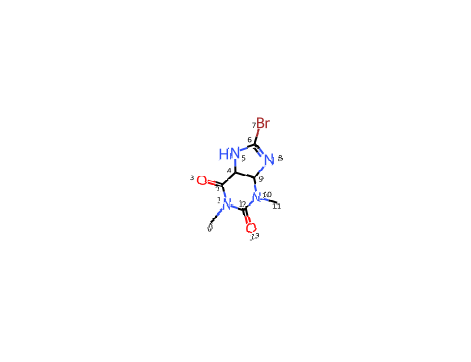 CN1C(=O)C2NC(Br)=NC2N(C)C1=O